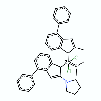 CC1=Cc2c(-c3ccccc3)cccc2[CH]1[Zr]([Cl])([Cl])([CH]1C(N2CCCC2)=Cc2c(-c3ccccc3)cccc21)=[Si](C)C